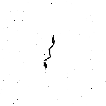 O=PCCP=O